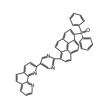 O=P(c1ccccc1)(c1ccccc1)c1ccc2ccc3c(-c4ncc(-c5ccc6ccc7cccnc7c6n5)cn4)ccc4ccc1c2c43